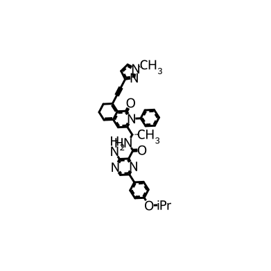 CC(C)Oc1ccc(-c2cnc(N)c(C(=O)N[C@@H](C)c3cc4c(c(=O)n3-c3ccccc3)=C(C#Cc3ccn(C)n3)CCC=4)n2)cc1